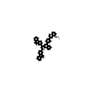 C=C/C(=C\c1ccccc1N)c1ccc(-c2cc3c(-c4ccc5c(c4)C(C)(C)c4ccccc4-5)cc(-c4ccc5c(c4)C(C)(C)c4ccccc4-5)nc3c3ccccc23)cc1